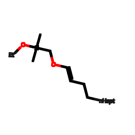 CCCCCCCCCC=COC[Si](C)(C)OCC